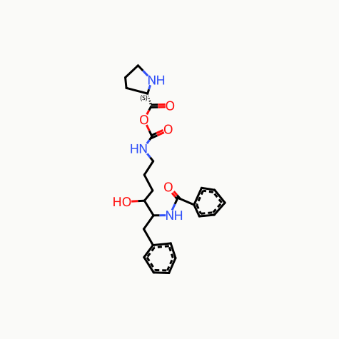 O=C(NCCCC(O)C(Cc1ccccc1)NC(=O)c1ccccc1)OC(=O)[C@@H]1CCCN1